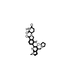 Cn1ccc2c(CN3CCCC3)c(Cl)c(-c3ccc4c(c3F)CN(C3CCC(=O)NC3=O)C4=O)nc21